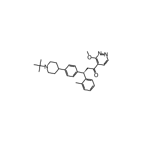 COc1nnccc1C(=O)C[C@H](c1ccc(C2CCN(C(C)(C)C)CC2)cc1)c1ccccc1C